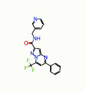 O=C(NCc1cccnc1)c1cc2nc(-c3ccccc3)cc(C(F)(F)F)n2n1